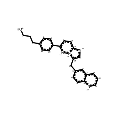 OCCCc1ccc(-c2ccc3ncc(Cc4ccc5ncccc5c4)n3n2)cc1